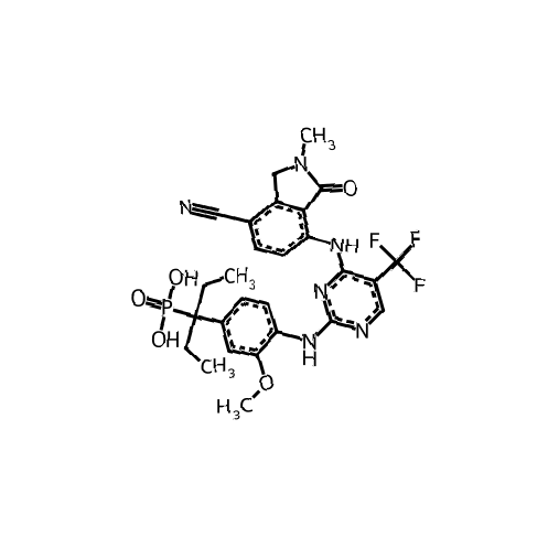 CCC(CC)(c1ccc(Nc2ncc(C(F)(F)F)c(Nc3ccc(C#N)c4c3C(=O)N(C)C4)n2)c(OC)c1)P(=O)(O)O